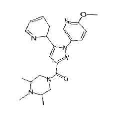 COc1ccc(-n2nc(C(=O)N3CC(C)N(C)C(C)C3)cc2C2CC=CC=N2)cn1